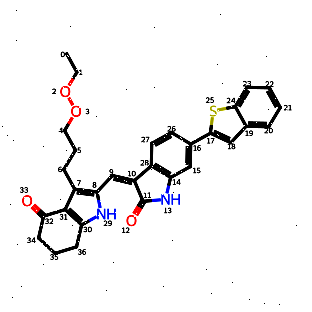 CCOOCCCc1c(/C=C2\C(=O)Nc3cc(-c4cc5ccccc5s4)ccc32)[nH]c2c1C(=O)CCC2